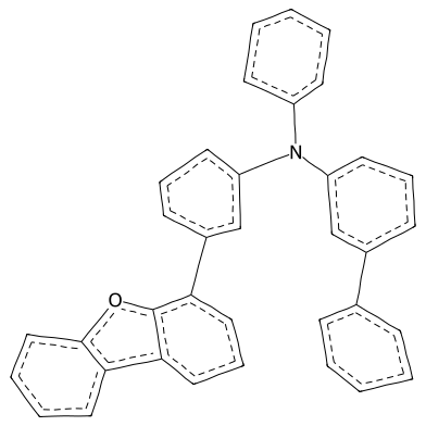 c1ccc(-c2cccc(N(c3ccccc3)c3cccc(-c4cccc5c4oc4ccccc45)c3)c2)cc1